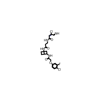 N=C/C(Cl)=C\C(=O)NCCC(=O)NC12CCC1C(NC(=O)COc1ccc(Cl)c(F)c1)C2